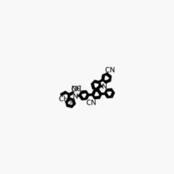 C/C=C\c1c(C)n(-c2cc(C#N)c(-c3ccc(-c4ccccc4-n4c5ccccc5c5cc(C#N)ccc54)cc3)cc2C#N)c2ccccc12